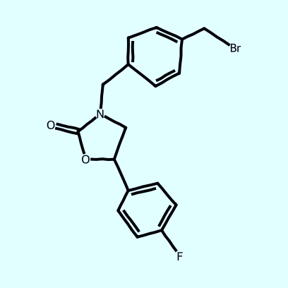 O=C1OC(c2ccc(F)cc2)CN1Cc1ccc(CBr)cc1